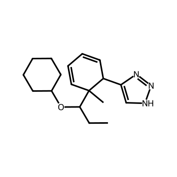 CCC(OC1CCCCC1)C1(C)C=CC=CC1c1c[nH]nn1